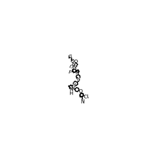 C[Si](C)(C)CCOCN1C(=O)CCN(c2cc(F)cc3c2ccn3C2CCN(CC3CCN(C4=CC=CNN4C4CCC(Oc5ccc(C#N)c(Cl)c5)CC4)CC3)CC2)C1=O